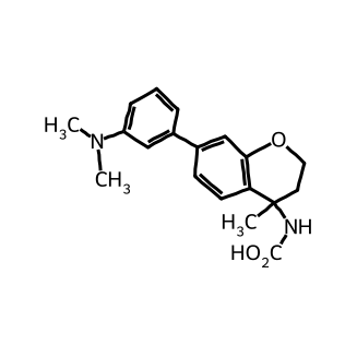 CN(C)c1cccc(-c2ccc3c(c2)OCCC3(C)NC(=O)O)c1